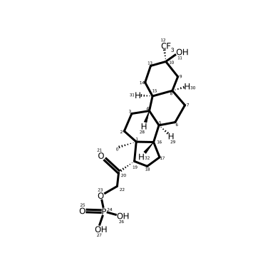 C[C@]12CC[C@H]3[C@@H](CC[C@@H]4C[C@@](O)(C(F)(F)F)CC[C@@H]43)[C@@H]1CC[C@@H]2C(=O)COP(=O)(O)O